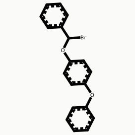 BrC(Oc1ccc(Oc2ccccc2)cc1)c1ccccc1